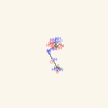 C[C@H]1[C@H]([C@H](OC(=O)NCc2cn(CCCCCNC(=O)CCCCC3SC[C@@H]4NC(=O)N[C@H]34)nn2)[C@H](O)CO)OC(P(=O)(O)O)=C[C@@H]1NC(=N)N